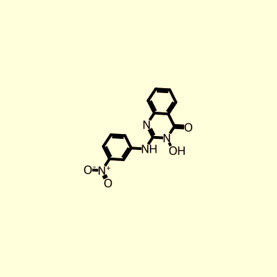 O=c1c2ccccc2nc(Nc2cccc([N+](=O)[O-])c2)n1O